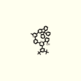 Cc1cc(-c2ccc3c(c2)C(c2ccccc2)(c2ccccc2)c2ccccc2-3)cc(-c2cccc(-c3cc(-c4cc(C(C)(C)C)cc(C(C)(C)C)c4)cc(-c4ccccc4O)n3)c2)n1